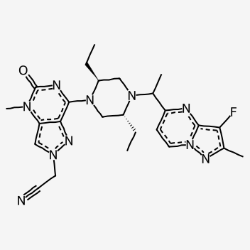 CC[C@H]1CN(C(C)c2ccn3nc(C)c(F)c3n2)[C@H](CC)CN1c1nc(=O)n(C)c2cn(CC#N)nc12